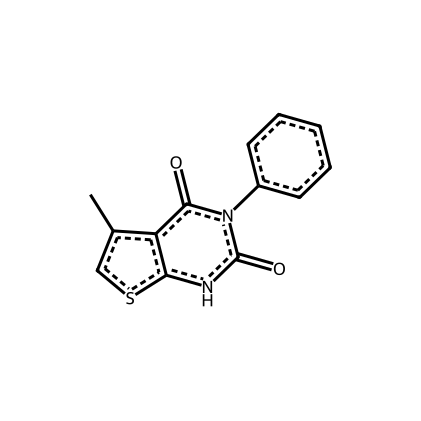 Cc1csc2[nH]c(=O)n(-c3ccccc3)c(=O)c12